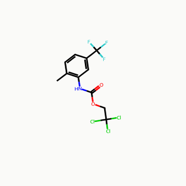 Cc1ccc(C(F)(F)F)cc1NC(=O)OCC(Cl)(Cl)Cl